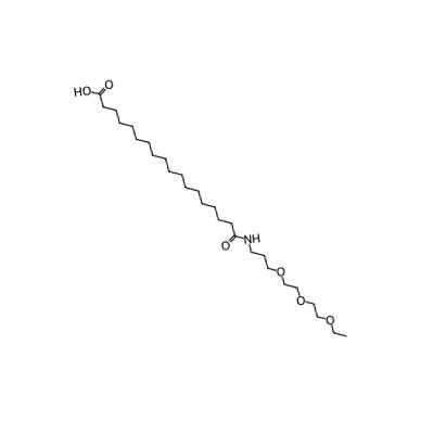 CCOCCOCCOCCCNC(=O)CCCCCCCCCCCCCCCCC(=O)O